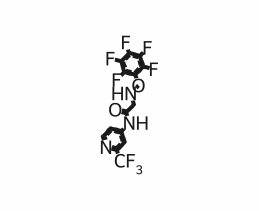 O=C(CNOc1c(F)c(F)c(F)c(F)c1F)Nc1ccnc(C(F)(F)F)c1